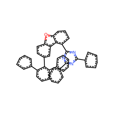 c1ccc(-c2nc(-c3ccccc3)nc(-c3cccc4oc5ccc(-c6c(-c7ccccc7)cccc6-c6ccccc6)cc5c34)n2)cc1